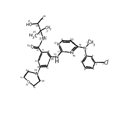 CN(c1cccc(Cl)c1)c1ccnc(Nc2cc(C(=O)NC(C)(C)C(O)I)cc(N3CCOCC3)c2)n1